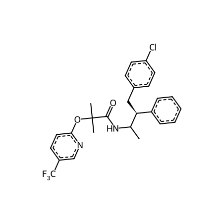 CC(NC(=O)C(C)(C)Oc1ccc(C(F)(F)F)cn1)[C@@H](Cc1ccc(Cl)cc1)c1ccccc1